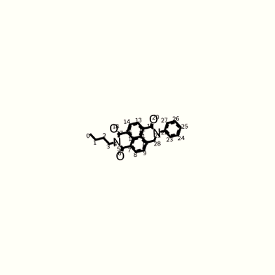 CCCCN1C(=O)c2ccc3c4c(ccc(c24)C1=O)C(=O)N(c1ccccc1)C3